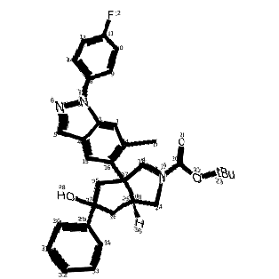 Cc1cc2c(cnn2-c2ccc(F)cc2)cc1C12CN(C(=O)OC(C)(C)C)C[C@@H]1CC(O)(c1ccccc1)C2